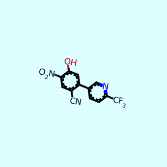 N#Cc1cc([N+](=O)[O-])c(O)cc1-c1ccc(C(F)(F)F)nc1